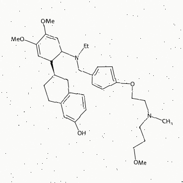 CCN(Cc1ccc(OCCN(C)CCCOC)cc1)C1C=C(OC)C(OC)=CC1[C@@H]1CCc2cc(O)ccc2C1